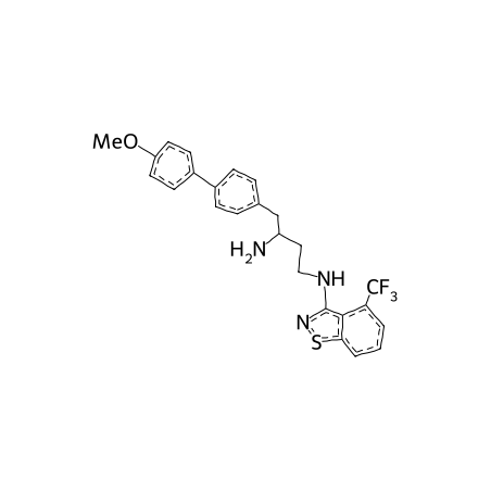 COc1ccc(-c2ccc(CC(N)CCNc3nsc4cccc(C(F)(F)F)c34)cc2)cc1